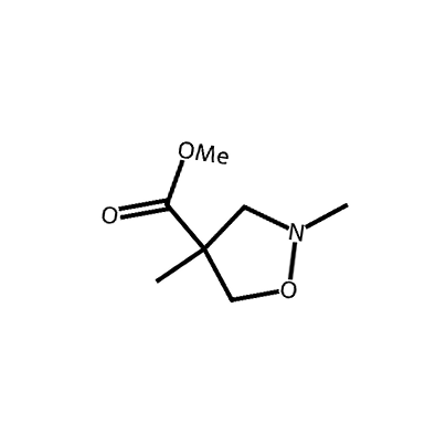 COC(=O)C1(C)CON(C)C1